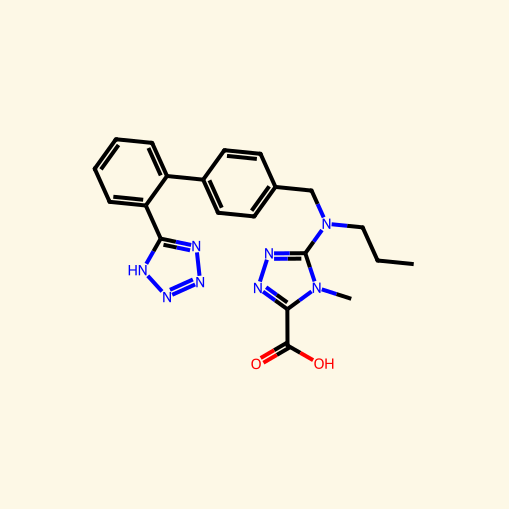 CCCN(Cc1ccc(-c2ccccc2-c2nnn[nH]2)cc1)c1nnc(C(=O)O)n1C